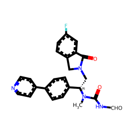 CN(C(=O)NC=O)[C@@H](CN1Cc2ccc(F)cc2C1=O)c1ccc(-c2ccncc2)cc1